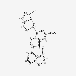 COc1nc(N2Cc3c(F)ncn3CC2C)c2ccc(-c3cccc4cccc(Cl)c34)cc2n1